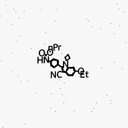 CCCOC(=O)Nc1ccc(-c2c(C#N)c3ccc(OCC)cc3n2C2CCC2)cc1